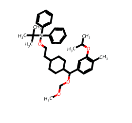 COCOC(c1ccc(C)c(OC(C)C)c1)C1CCC(CCO[Si](c2ccccc2)(c2ccccc2)C(C)(C)C)CC1